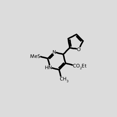 CCOC(=O)C1=C(C)NC(SC)=NC1c1ccco1